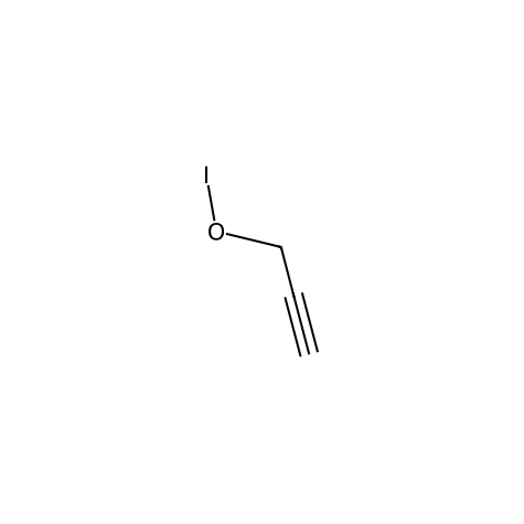 C#CCOI